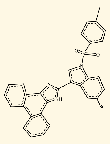 Cc1ccc(S(=O)(=O)n2cc(-c3nc4c5ccccc5c5ccccc5c4[nH]3)c3cc(Br)ccc32)cc1